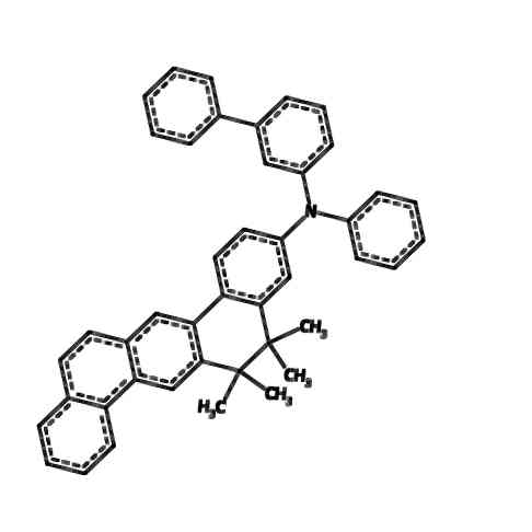 CC1(C)c2cc(N(c3ccccc3)c3cccc(-c4ccccc4)c3)ccc2-c2cc3ccc4ccccc4c3cc2C1(C)C